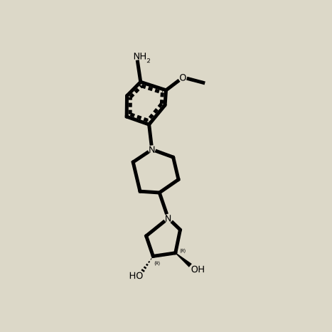 COc1cc(N2CCC(N3C[C@@H](O)[C@H](O)C3)CC2)ccc1N